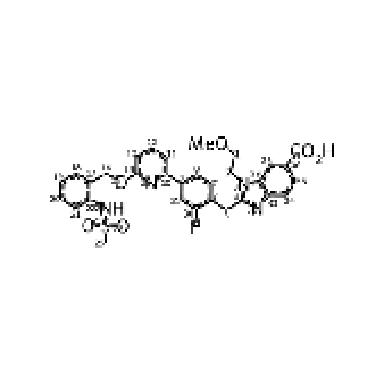 COCCn1c(Cc2ccc(-c3cccc(OCc4ccccc4NS(C)(=O)=O)n3)cc2F)nc2ccc(C(=O)O)cc21